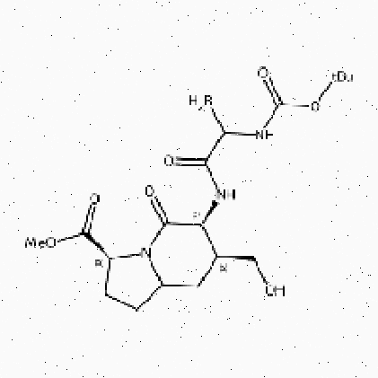 BC(NC(=O)OC(C)(C)C)C(=O)N[C@@H]1C(=O)N2C(CC[C@H]2C(=O)OC)C[C@@H]1CO